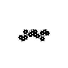 CC1(C)c2cc(N(c3ccccc3)c3ccc4ccc5ccccc5c4c3)ccc2-c2cc3ccc(N(c4ccccc4)c4ccc5ccc6ccccc6c5c4)cc3c3cccc1c23